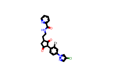 CCc1cc(-n2cc(Cl)cn2)ccc1C1C(=O)CC(CCNC(=O)c2ccccn2)C1=O